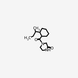 CCC(C)C1CCCCC1C(=O)N1CCNC(=O)C1